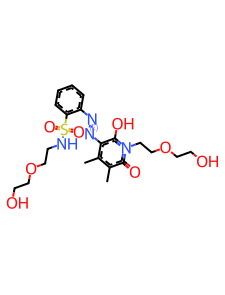 Cc1c(/N=N/c2ccccc2S(=O)(=O)NCCOCCO)c(O)n(CCOCCO)c(=O)c1C